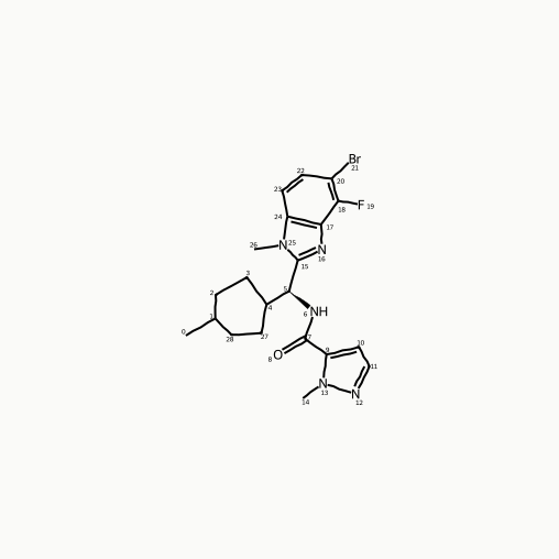 CC1CCC([C@H](NC(=O)c2ccnn2C)c2nc3c(F)c(Br)ccc3n2C)CC1